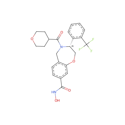 O=C(NO)c1ccc2c(c1)OC[C@@H](c1ccccc1C(F)(F)F)N(C(=O)C1CCOCC1)C2